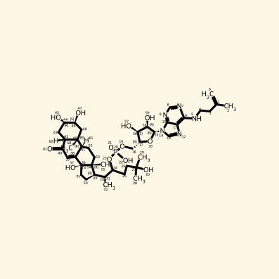 C=C(C)CCNc1ncnc2c1ncn2[C@@H]1O[C@H](COP(=O)(O)OC(CCC(C)(C)O)[C@@H](C)[C@H]2CC[C@@]3(O)C4=CC(=O)[C@@H]5C[C@@H](O)[C@@H](O)C[C@]5(C)[C@H]4CC[C@]23C)[C@@H](O)[C@H]1O